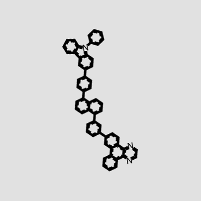 c1ccc(-n2c3ccccc3c3cc(-c4ccc(-c5cccc6c(-c7cccc(-c8ccc9c(c8)c8ccccc8c8nccnc98)c7)cccc56)cc4)ccc32)cc1